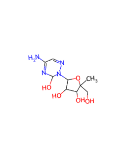 CC1(CO)OC(N2N=CC(N)=NC2O)C(O)C1O